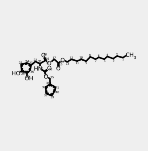 CCCCCCCCCCCCCCOC(=O)COC(=O)C(Cc1ccc(O)c(O)c1)NC(=O)OCc1ccccc1